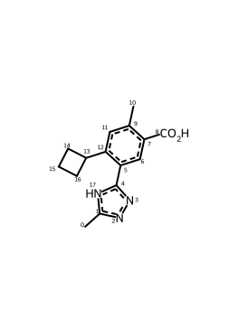 Cc1nnc(-c2cc(C(=O)O)c(C)cc2C2CCC2)[nH]1